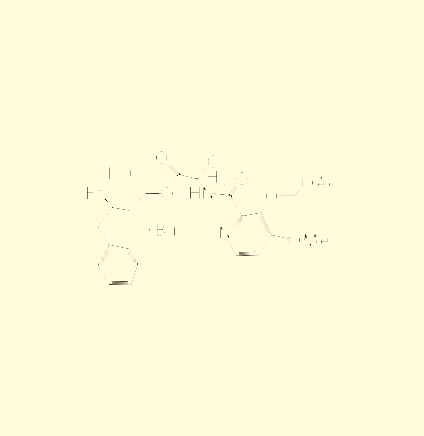 CC[C@H](Cc1ccccc1)[C@@H](OCC(C)C)[C@H](C)OC(=O)C(C)NC(=O)c1nccc(OC)c1OCOC(C)=O